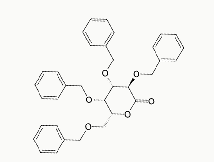 O=C1O[C@H](COCc2ccccc2)[C@H](OCc2ccccc2)[C@H](OCc2ccccc2)[C@H]1OCc1ccccc1